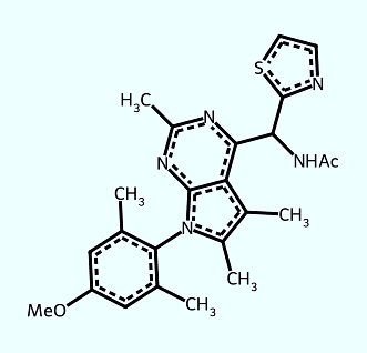 COc1cc(C)c(-n2c(C)c(C)c3c(C(NC(C)=O)c4nccs4)nc(C)nc32)c(C)c1